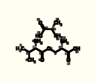 CC(C)[C@H](N)C(=O)OC[C@H](N)C(=O)O.C[C@H](N)C(=O)O